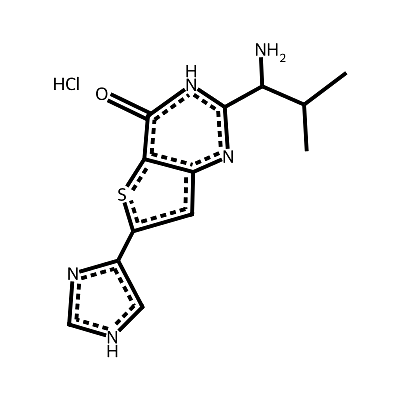 CC(C)C(N)c1nc2cc(-c3c[nH]cn3)sc2c(=O)[nH]1.Cl